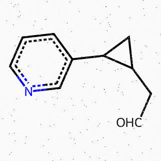 O=CCC1CC1c1cccnc1